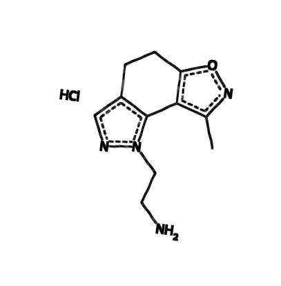 Cc1noc2c1-c1c(cnn1CCN)CC2.Cl